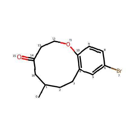 CC1CCc2cc(Br)ccc2OCCC(=O)C1